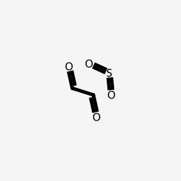 O=CC=O.O=S=O